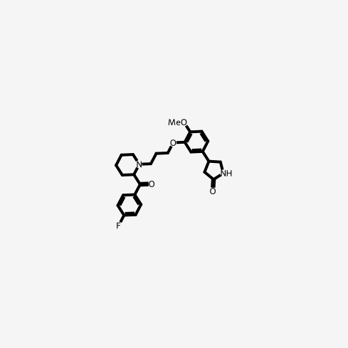 COc1ccc(C2CNC(=O)C2)cc1OCCCN1CCCCC1C(=O)c1ccc(F)cc1